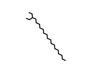 CCCCCCCCCCCCCCCCCC(CC)CC